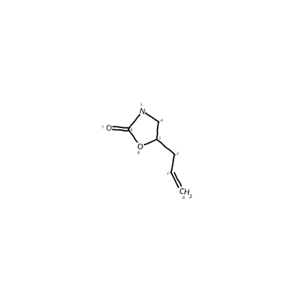 C=CCC1C[N]C(=O)O1